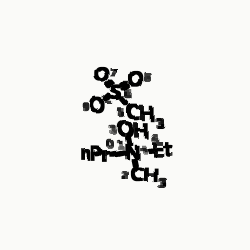 CCC[N+](C)(O)CC.CS(=O)(=O)[O-]